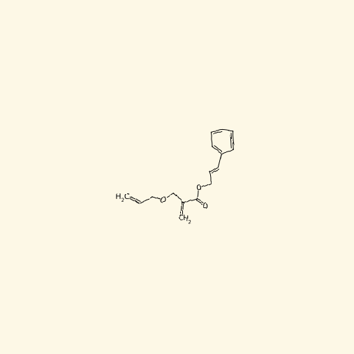 C=CCOCC(=C)C(=O)OC/C=C/c1ccccc1